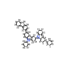 c1ccc(-c2ccc3c(c2)c2ccccc2n3-c2ccc3c(c2)c2cc(-c4ccc5c(c4)-c4ccccc4C5)ccc2n3-c2ccccc2)cc1